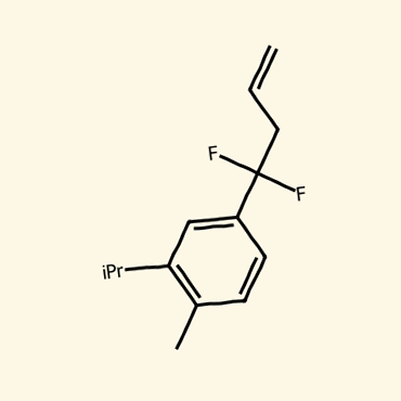 C=CCC(F)(F)c1ccc(C)c(C(C)C)c1